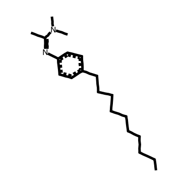 CCCCCCCCCCc1ccc(N=C(C)N(C)C)cc1